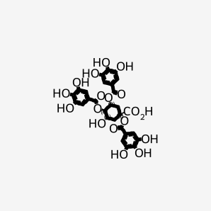 O=C(O[C@@H]1[C@H](O)C[C@@](OC(=O)c2cc(O)c(O)c(O)c2)(C(=O)O)C[C@H]1OC(=O)c1cc(O)c(O)c(O)c1)c1cc(O)c(O)c(O)c1